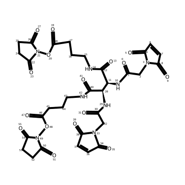 O=C(CN1C(=O)C=CC1=O)N[C@H](C(=O)NCCCC(=O)ON1C(=O)CCC1=O)[C@@H](NC(=O)CN1C(=O)C=CC1=O)C(=O)NCCCC(=O)ON1C(=O)CCC1=O